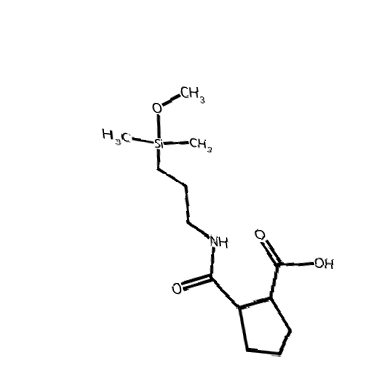 CO[Si](C)(C)CCCNC(=O)C1CCCC1C(=O)O